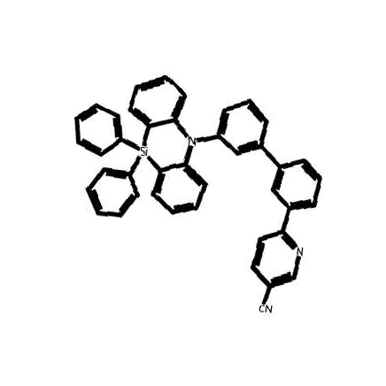 N#Cc1ccc(-c2cccc(-c3cccc(N4c5ccccc5[Si](c5ccccc5)(c5ccccc5)c5ccccc54)c3)c2)nc1